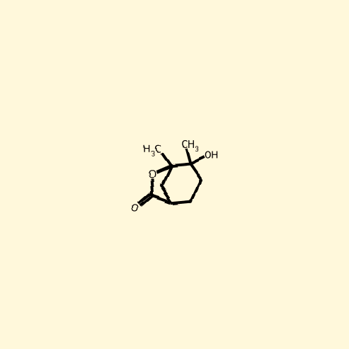 CC1(O)CCC2CC1(C)OC2=O